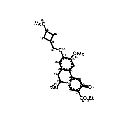 CCOC(=O)c1cn2c(cc1=O)-c1cc(OC)c(OCC3CC(OC)C3)cc1CC2C(C)(C)C